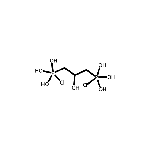 OC(CP(O)(O)(O)Cl)CP(O)(O)(O)Cl